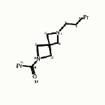 CC(C)CCN1CC2(C1)CN(C(=O)C(C)C)C2